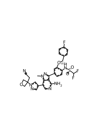 C[C@H](Oc1cc(-c2nn(C)c3c(-c4cnn(C5(CC#N)COC5)c4)cnc(N)c23)ccc1NS(=O)(=O)C(F)F)c1ccc(F)cc1